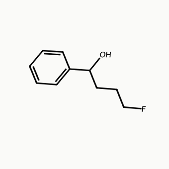 OC(CCCF)c1ccccc1